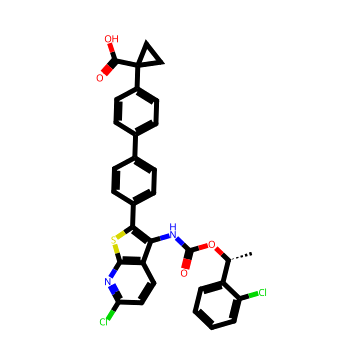 C[C@@H](OC(=O)Nc1c(-c2ccc(-c3ccc(C4(C(=O)O)CC4)cc3)cc2)sc2nc(Cl)ccc12)c1ccccc1Cl